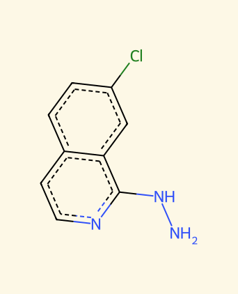 NNc1nccc2ccc(Cl)cc12